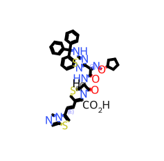 O=C(O)C1=C(/C=C/c2csc3cncn23)CS[C@@H]2[C@H](NC(=O)/C(=N\OC3CCCC3)c3nsc(NC(c4ccccc4)(c4ccccc4)c4ccccc4)n3)C(=O)N12